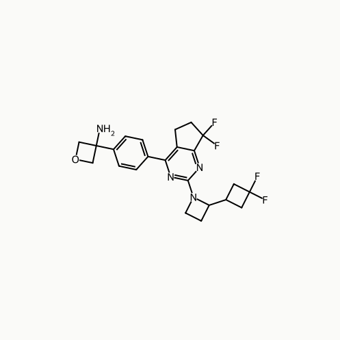 NC1(c2ccc(-c3nc(N4CCC4C4CC(F)(F)C4)nc4c3CCC4(F)F)cc2)COC1